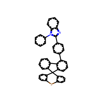 c1ccc(-n2c(-c3ccc(-c4cccc5c4-c4ccccc4C54c5ccccc5Sc5ccccc54)cc3)nc3ccccc32)cc1